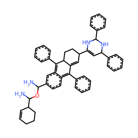 NC(OC(N)C1C=CCCC1)c1ccc2c(c1)=C(c1ccccc1)C1CCC(C3=CC(c4ccccc4)NC(c4ccccc4)N3)C=C1C=2c1ccccc1